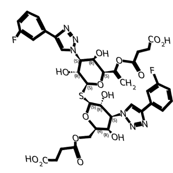 C=C(OC(=O)CCC(=O)O)[C@H]1O[C@@H](S[C@@H]2O[C@H](COC(=O)CCC(=O)O)[C@H](O)[C@H](n3cc(-c4cccc(F)c4)nn3)[C@H]2O)[C@H](O)[C@@H](n2cc(-c3cccc(F)c3)nn2)[C@H]1O